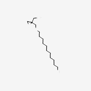 CCCCCCCCCCCCOCC1(CC)CO1